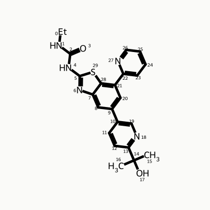 CCNC(=O)Nc1nc2cc(-c3ccc(C(C)(C)O)nc3)cc(-c3ccccn3)c2s1